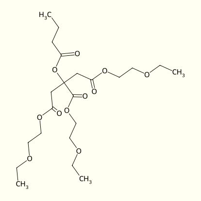 CCCC(=O)OC(CC(=O)OCCOCC)(CC(=O)OCCOCC)C(=O)OCCOCC